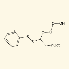 CCCCCCCCCC(OOOO)SSc1ccccn1